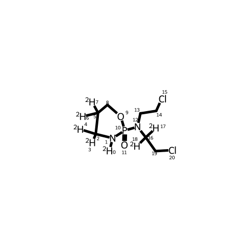 [2H]N1C([2H])([2H])C([2H])([2H])COP1(=O)N(CCCl)C([2H])([2H])CCl